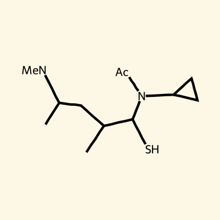 CNC(C)CC(C)C(S)N(C(C)=O)C1CC1